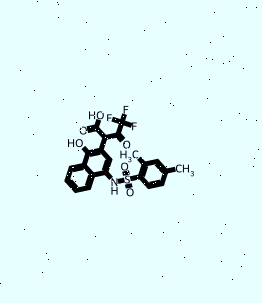 Cc1ccc(S(=O)(=O)Nc2cc(C(C(=O)O)C(=O)C(F)(F)F)c(O)c3ccccc23)c(C)c1